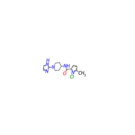 Cc1ccc(C(=O)NC2CCN(c3ncc[nH]3)CC2)n1Cl